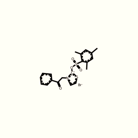 Cc1cc(C)c(S(=O)(=O)O[c+]2sccn2CC(=O)c2ccccc2)c(C)c1.[Br-]